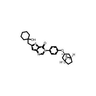 CN1[C@@H]2CC[C@H]1C[C@@H](Oc1ccc(-n3cnc4cc(CC5(O)CCCCC5)sc4c3=O)cc1)C2